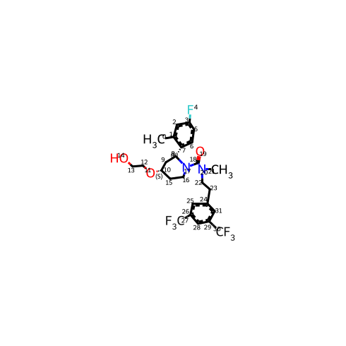 Cc1cc(F)ccc1[C@H]1C[C@@H](OCCO)CCN1C(=O)N(C)CCc1cc(C(F)(F)F)cc(C(F)(F)F)c1